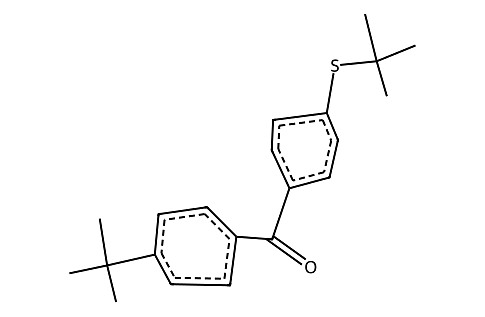 CC(C)(C)Sc1ccc(C(=O)c2ccc(C(C)(C)C)cc2)cc1